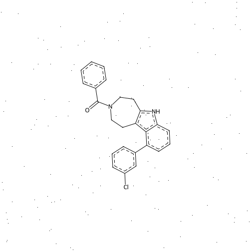 O=C(c1ccccc1)N1CCc2[nH]c3cccc(-c4cccc(Cl)c4)c3c2CC1